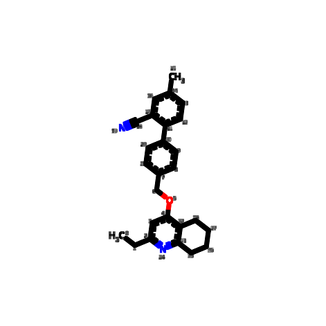 CCc1cc(OCc2ccc(-c3ccc(C)cc3C#N)cc2)c2c(n1)CCCC2